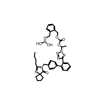 CCCCC1=NC2(CCCC2)C(=O)N1Cc1ccc(-c2ccccc2-c2nnn(C(C)OC(=O)OCc3ccccc3CON(O)O)n2)cc1